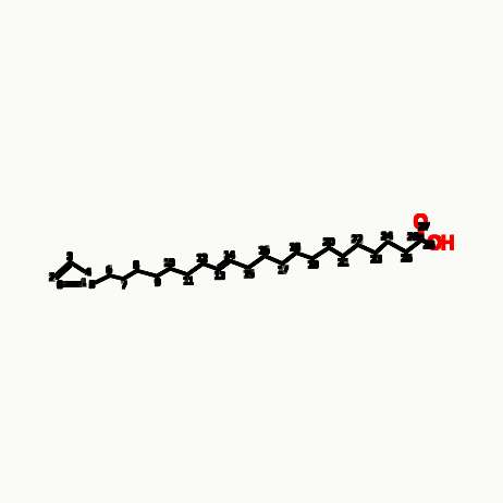 C=C.C=CC.CCCCCCCCC=CCCCCCCCCCCCC(=O)O